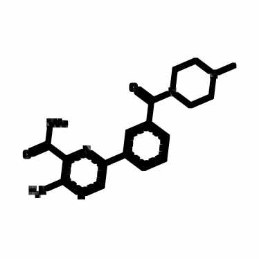 CNC(=O)c1nc(-c2cccc(C(=O)N3CCN(C)CC3)c2)cnc1N